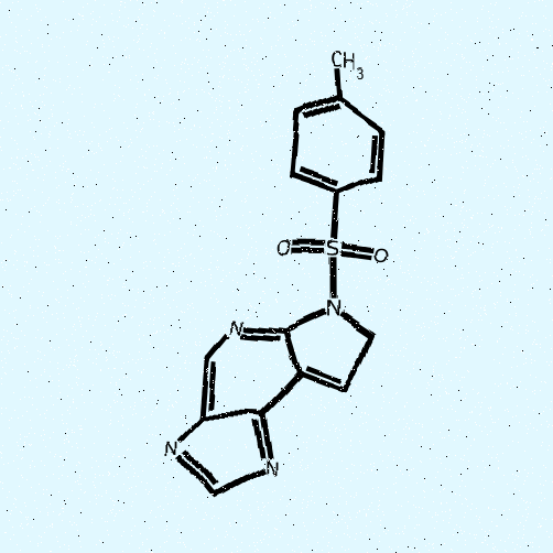 Cc1ccc(S(=O)(=O)N2CC=c3c2ncc2c3=NC=N2)cc1